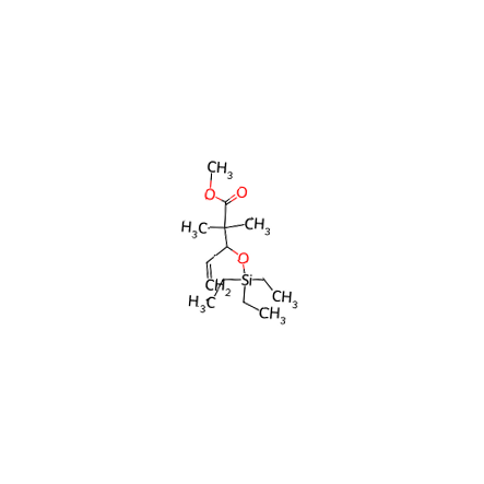 C=CC(O[Si](CC)(CC)CC)C(C)(C)C(=O)OC